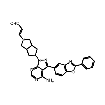 Nc1ncnc2c1c(-c1ccc3oc(-c4ccccc4)nc3c1)nn2C1CC2CN(C=CC=O)CC2C1